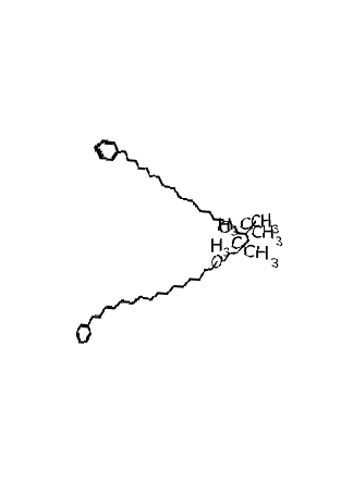 CC(C)(CCCOCCCCCCCCCCCCCCCCc1ccccc1)CC(CCOCCCCCCCCCCCCCCCc1ccccc1)C(C)(C)C